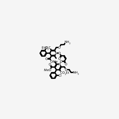 CCOC(=O)C1=C(COCCN)N(OC(=O)/C=C\C(=O)ON2C(C)=C(C(=O)OC)C(c3ccccc3Cl)C(C(=O)OCC)=C2COCCN)C(C)=C(C(=O)OC)C1c1ccccc1Cl